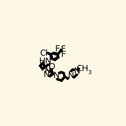 CN1CCN(CC2CCN(c3cnn(C4(C(=O)Nc5ccc(C(F)(F)F)cc5Cl)CCC4)c3)CC2)CC1